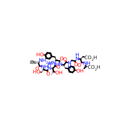 CC[C@H](C)[C@H](N)C(=O)N[C@@H](CO)C(=O)N[C@H](C(=O)N[C@@H](Cc1ccc(O)cc1)C(=O)N[C@@H](Cc1ccc(O)cc1)C(=O)NCC(=O)N[C@@H](CC(=O)O)C(=O)N[C@@H](C)C(=O)O)[C@@H](C)O